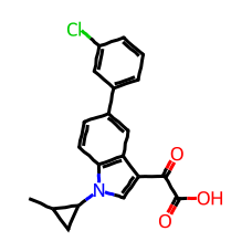 CC1CC1n1cc(C(=O)C(=O)O)c2cc(-c3cccc(Cl)c3)ccc21